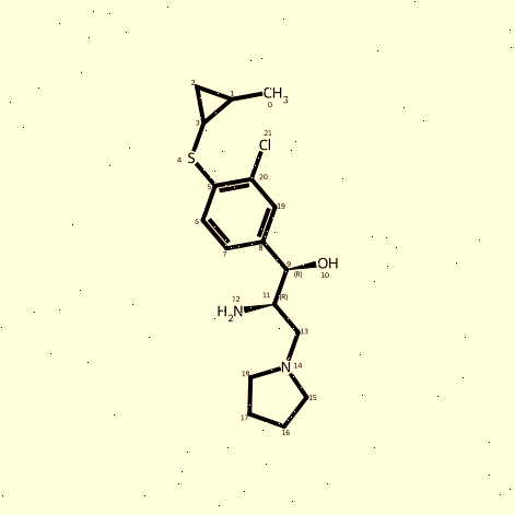 CC1CC1Sc1ccc([C@@H](O)[C@H](N)CN2CCCC2)cc1Cl